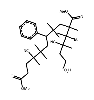 CCC(C)(C(C)(C#N)CCC(=O)O)C(C)(CC(C)(C)C(CC(C)(C)C(C)(C#N)CCC(=O)OC)c1ccccc1)C(=O)OC